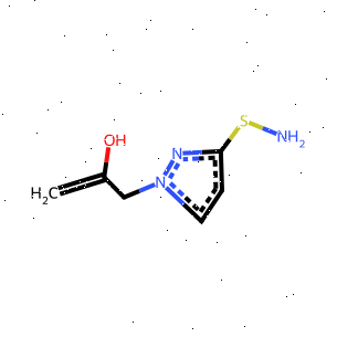 C=C(O)Cn1ccc(SN)n1